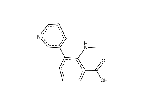 CNc1c(C(=O)O)cccc1-c1cccnc1